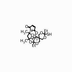 CCC1(S)OCC2(CO1)COC(CC)(OC(C)(C)CC(C)(C)N1C(=O)C=CC1=O)OC2